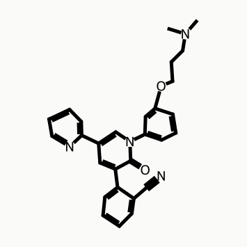 CN(C)CCCOc1cccc(-n2cc(-c3ccccn3)cc(-c3ccccc3C#N)c2=O)c1